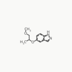 COCC(C)Oc1ccc2[nH]ncc2c1